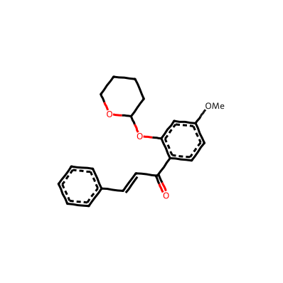 COc1ccc(C(=O)/C=C/c2ccccc2)c(OC2CCCCO2)c1